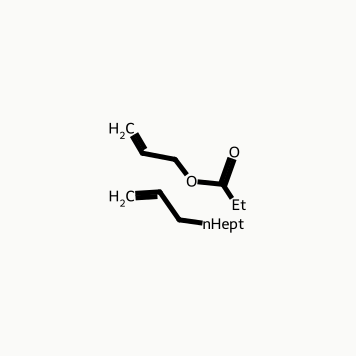 C=CCCCCCCCC.C=CCOC(=O)CC